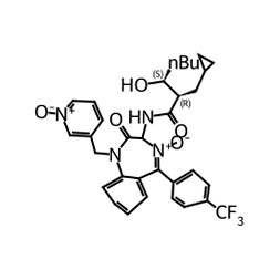 CCCC[C@H](O)[C@@H](CC1CC1)C(=O)NC1C(=O)N(Cc2ccc[n+]([O-])c2)c2ccccc2C(c2ccc(C(F)(F)F)cc2)=[N+]1[O-]